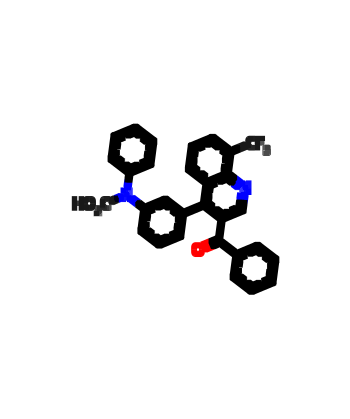 O=C(c1ccccc1)c1cnc2c(C(F)(F)F)cccc2c1-c1cccc(N(C(=O)O)c2ccccc2)c1